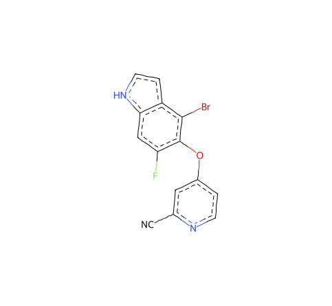 N#Cc1cc(Oc2c(F)cc3[nH]ccc3c2Br)ccn1